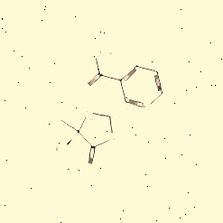 COC(=O)c1cccnc1[C@@H]1NC(=S)[C@@](C)(C(C)C)N1